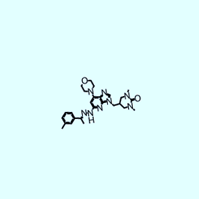 C/C(=N\Nc1cc(N2CCOCC2)c2ncn(CC3CN(C)C(=O)N(C)C3)c2n1)c1cccc(C)c1